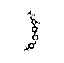 CC(=S)NCC1CN(c2ccc(N3CCN(Cc4ccc(C(F)(F)F)cc4)CC3)nc2)C(=O)O1